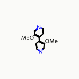 COc1cnccc1-c1ccncc1OC